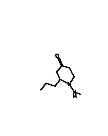 CCCC1CC(=O)CCN1NC